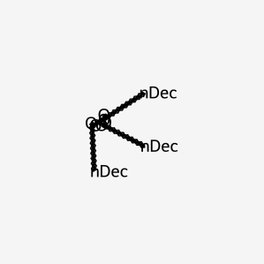 CCCCCCCCCCCCCCCCCCCCCCCCCCCC(=O)OCC(COC(=O)CCCCCCCCCCCCCCCCCCCCCCCCCCC)OC(=O)CCCCCCCCCCCCCCCCCCCCCCCCCCC